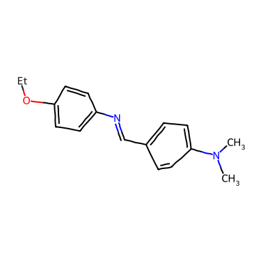 CCOc1ccc(N=Cc2ccc(N(C)C)cc2)cc1